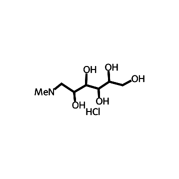 CNCC(O)C(O)C(O)C(O)CO.Cl